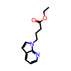 CCOC(=O)CCCn1ccc2cccnc21